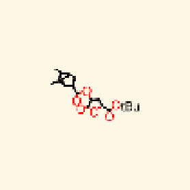 CC1C2CC(C(=O)OC3CC(C(=O)OC(C)(C)C)OC3=O)C(C2)C1C